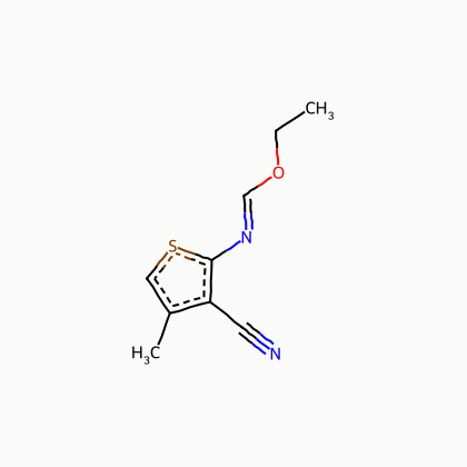 CCOC=Nc1scc(C)c1C#N